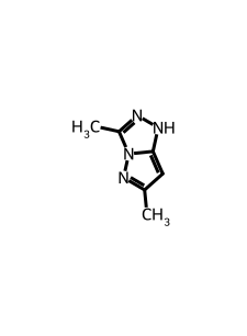 Cc1cc2[nH]nc(C)n2n1